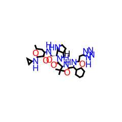 CCCC(NC(=O)[C@@H]1C2NCC[C@H]2CN1C(=O)[C@@H](NC(=O)[C@@H](NC(=O)Cc1nnn[nH]1)C1CCCCC1)C(C)(C)C)C(=O)C(=O)NC1CC1